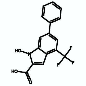 O=C(O)c1cc2c(C(F)(F)F)cc(-c3ccccc3)cc2n1O